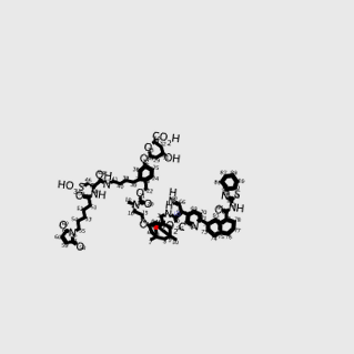 C/C(NCC12CC3(C)CC(C)(C1)CC(OCCN(C)C(=O)OCc1ccc(O[C@H]4C[C@@H](O)C[C@@H](C(=O)O)O4)cc1CCCCNC(=O)[C@H](CS(=O)(=O)O)NC(=O)CCCCCN1C(=O)C=CC1=O)(C3)C2)=C(/C=N)c1ccc(-c2ccc3cccc(C(=O)Nc4nc5ccccc5s4)c3c2)nc1C(=O)O